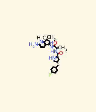 CC(NC(=O)[C@H]1C[C@H](Cc2ccc(F)cc2)CN1)C(=O)N[C@@H]1CC(C)(C)c2nc(N)ccc21